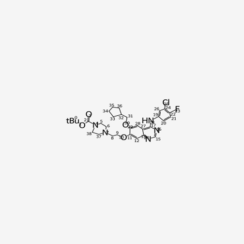 CC(C)(C)OC(=O)N1CCN(CCOc2cc3ncnc(Nc4ccc(F)c(Cl)c4)c3cc2OCC2CCCC2)CC1